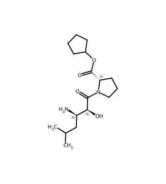 CC(C)C[C@@H](N)[C@H](O)C(=O)N1CCC[C@H]1C(=O)OC1CCCC1